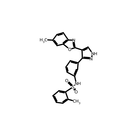 Cc1ccc2nc(-c3c[nH]nc3-c3cccc(NS(=O)(=O)c4ccccc4C)c3)oc2c1